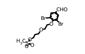 CS(=O)(=O)OCCCOCCOc1c(Br)cc(C=O)cc1Br